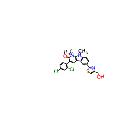 Cn1c(=O)c(-c2ccc(Cl)cc2Cl)cc2c3cc(-c4nc(CO)cs4)ccc3n(C)c21